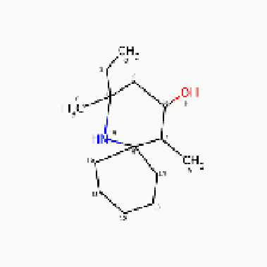 CCC1(C)CC(O)C(C)C2(CCCCC2)N1